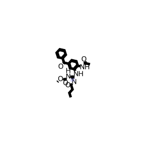 CCCC(=O)/N=C(\NC(=O)OC)Nc1cc(C(=O)c2ccccc2)ccc1NC(C)=O